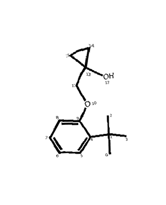 CC(C)(C)c1ccccc1OCC1(O)CC1